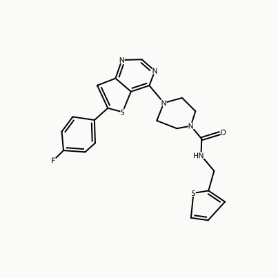 O=C(NCc1cccs1)N1CCN(c2ncnc3cc(-c4ccc(F)cc4)sc23)CC1